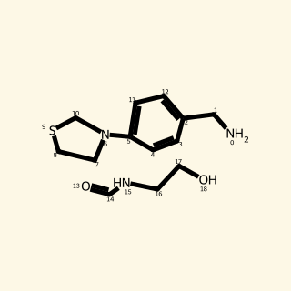 NCc1ccc(N2CCSC2)cc1.O=CNCCO